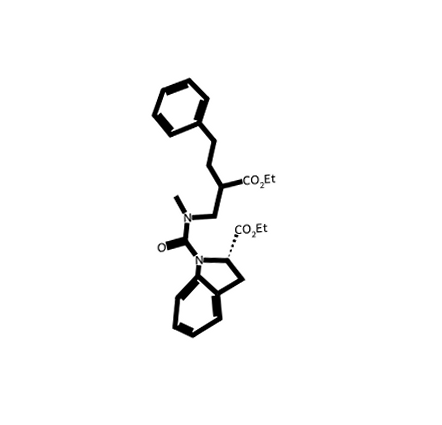 CCOC(=O)C(CCc1ccccc1)CN(C)C(=O)N1c2ccccc2C[C@H]1C(=O)OCC